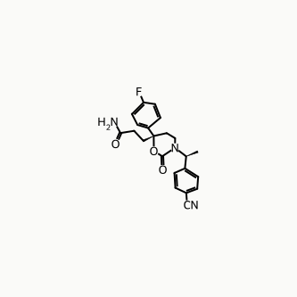 C[C@@H](c1ccc(C#N)cc1)N1CC[C@@](CCC(N)=O)(c2ccc(F)cc2)OC1=O